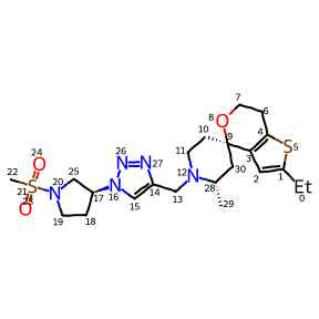 CCc1cc2c(s1)CCO[C@@]21CCN(Cc2cn([C@H]3CCN(S(C)(=O)=O)C3)nn2)[C@@H](C)C1